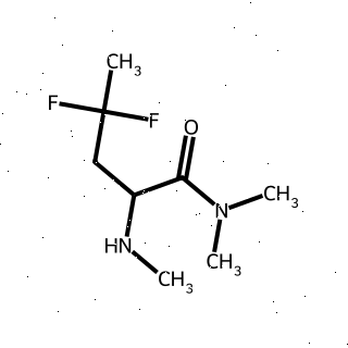 CNC(CC(C)(F)F)C(=O)N(C)C